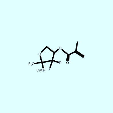 C=C(C)C(=O)OC1COC(OC)(C(F)(F)F)C1(F)F